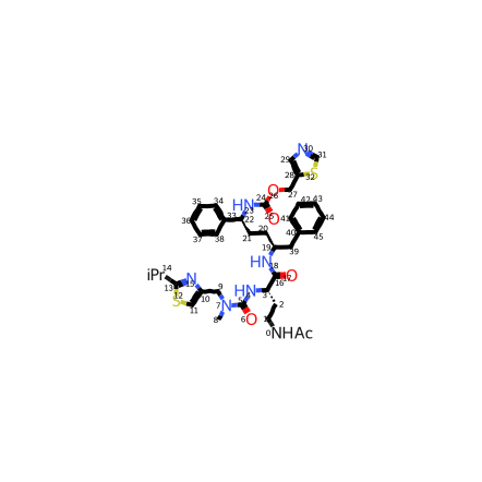 CC(=O)NCC[C@H](NC(=O)N(C)Cc1csc(C(C)C)n1)C(=O)N[C@@H](CC[C@H](NC(=O)OCc1cncs1)c1ccccc1)Cc1ccccc1